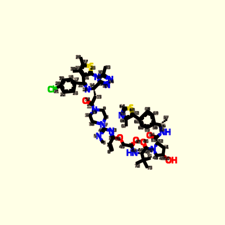 C=C/C(=N\C(=N/C)N1CCN(C(=O)C[C@@H]2N=C(c3ccc(Cl)cc3)c3c(sc(C)c3C)-n3c(C)nnc32)CC1)OCC(=O)N[C@H](C(=O)N1C[C@H](O)C[C@H]1C(=O)N[C@@H](C)c1ccc(-c2scnc2C)cc1)C(C)(C)C